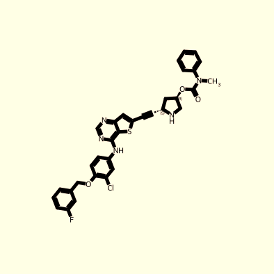 CN(C(=O)O[C@H]1CN[C@H](C#Cc2cc3ncnc(Nc4ccc(OCc5cccc(F)c5)c(Cl)c4)c3s2)C1)c1ccccc1